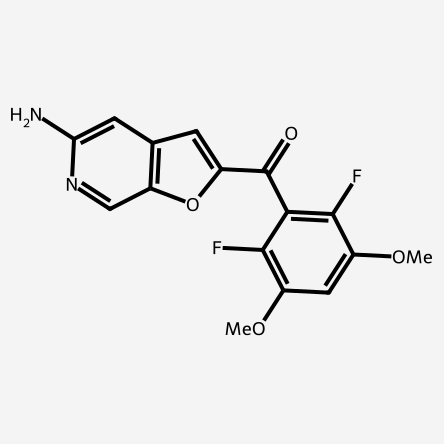 COc1cc(OC)c(F)c(C(=O)c2cc3cc(N)ncc3o2)c1F